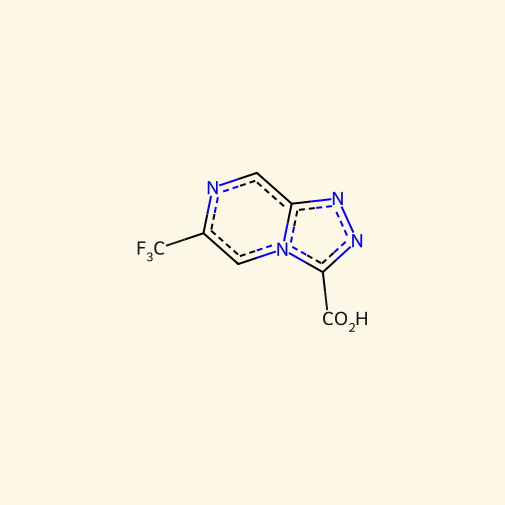 O=C(O)c1nnc2cnc(C(F)(F)F)cn12